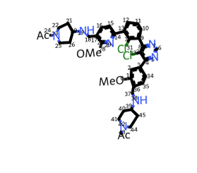 COc1cc(-c2ncnc(-c3cccc(-c4ccc(CNC5CCN(C(C)=O)CC5)c(OC)n4)c3Cl)c2Cl)ccc1CNC1CCN(C(C)=O)CC1